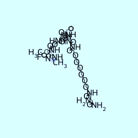 C/C=C1\NCc2c1nc1cc(F)c(C)c3c1c2[C@@H](NC(=O)COCNC(=O)CNC(=O)[C@H](Cc1ccccc1)NC(=O)CNC(=O)CNC(=O)CCOCCOCCOCCOCCOCCOCCNC(=O)CC(N)CC(N)=O)CC3